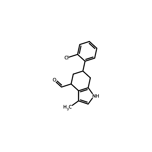 Cc1c[nH]c2c1C(C=O)CC(c1ccccc1Cl)C2